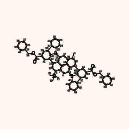 Cc1cc2c3c(cc4c([Si](C)(C)C)cc5c6c(cc1c3c46)B1c3ccccc3-c3cc(C(=O)OCc4ccccc4)cc-5c31)B1c3ccccc3-c3cc(C(=O)OCc4ccccc4)cc-2c31